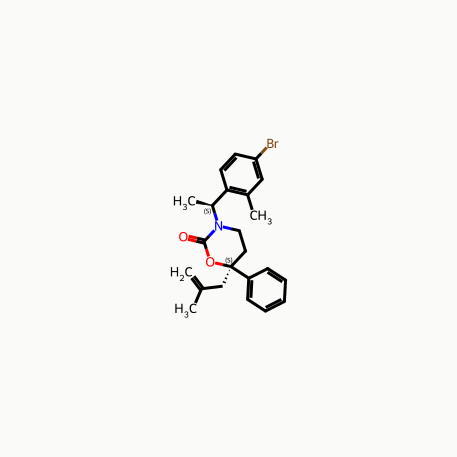 C=C(C)C[C@@]1(c2ccccc2)CCN([C@@H](C)c2ccc(Br)cc2C)C(=O)O1